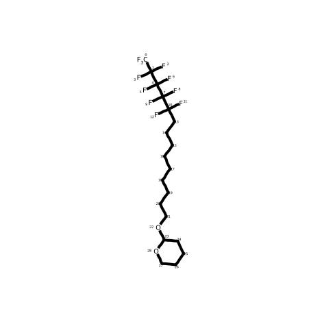 FC(F)(F)C(F)(F)C(F)(F)C(F)(F)C(F)(F)CCCCCCCCCOC1CCCCO1